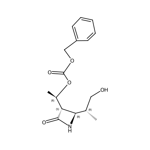 C[C@@H](CO)[C@H]1NC(=O)[C@@H]1[C@@H](C)OC(=O)OCc1ccccc1